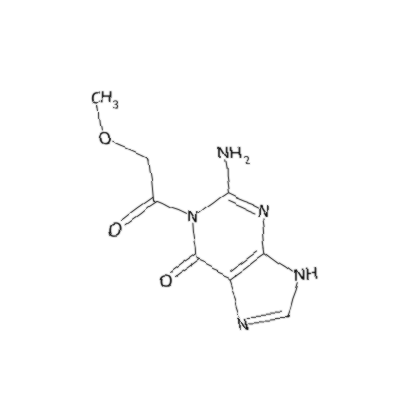 COCC(=O)n1c(N)nc2[nH]cnc2c1=O